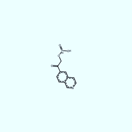 O=C(CO[PH](=O)O)c1ccc2cnccc2c1